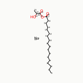 CCCCCCCCCCCCCCCCCC(=O)OC(=O)C(C)O.[Na]